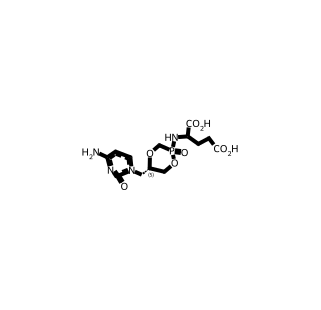 Nc1ccn(C[C@H]2COP(=O)(NC(CCC(=O)O)C(=O)O)CO2)c(=O)n1